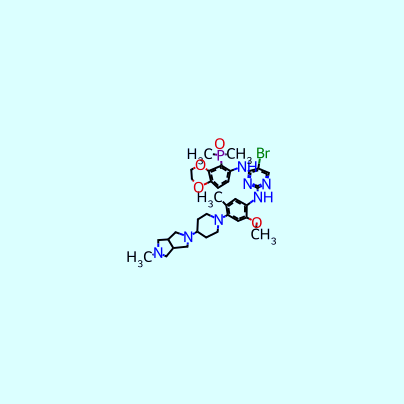 COc1cc(N2CCC(N3CC4CN(C)CC4C3)CC2)c(C)cc1Nc1ncc(Br)c(Nc2ccc3c(c2P(C)(C)=O)OCCO3)n1